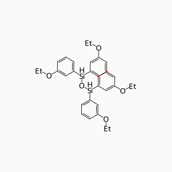 CCOc1cccc([SiH](O[SiH](c2cccc(OCC)c2)c2cccc(OCC)c2)c2cccc(OCC)c2)c1